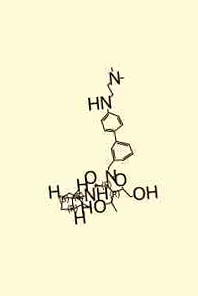 CC(O)[C@@H]1C(CO)ON(Cc2cccc(-c3ccc(NCCN(C)C)cc3)c2)[C@@H]1C(=O)N[C@H]1C[C@@H]2C[C@H](C1C)C2(C)C